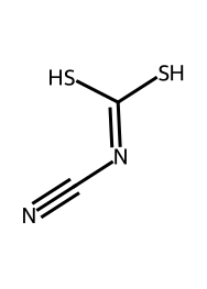 N#CN=C(S)S